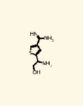 N=C(N)c1csc(C(N)CO)c1